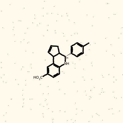 Cc1ccc([C@@H]2Nc3ccc(C(=O)O)cc3C3C=CCC32)cc1